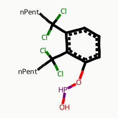 CCCCCC(Cl)(Cl)c1cccc(OPO)c1C(Cl)(Cl)CCCCC